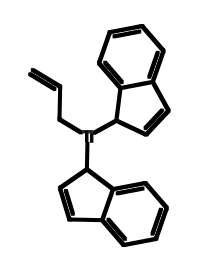 C=C[CH2][Ti]([CH]1C=Cc2ccccc21)[CH]1C=Cc2ccccc21